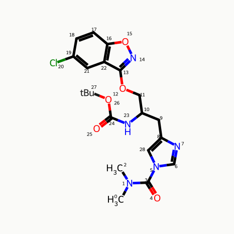 CN(C)C(=O)n1cnc(CC(COc2noc3ccc(Cl)cc23)NC(=O)OC(C)(C)C)c1